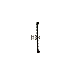 O=C(C(O)=CCCCCCCCCCCCCCCCc1ccccc1)C(O)=CCCCCCCCCCCCCCCCc1ccccc1